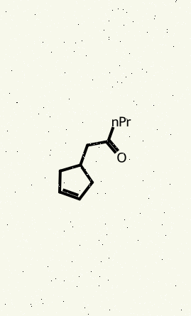 CCCC(=O)CC1CC=CC1